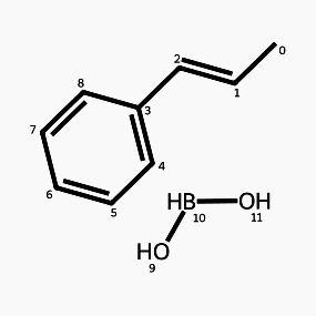 CC=Cc1ccccc1.OBO